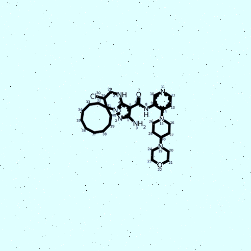 Nc1nn2c(c1C(=O)Nc1cnccc1N1CCC(N3CCOCC3)CC1)NCC(Cl)C21CCCCCCCCC1